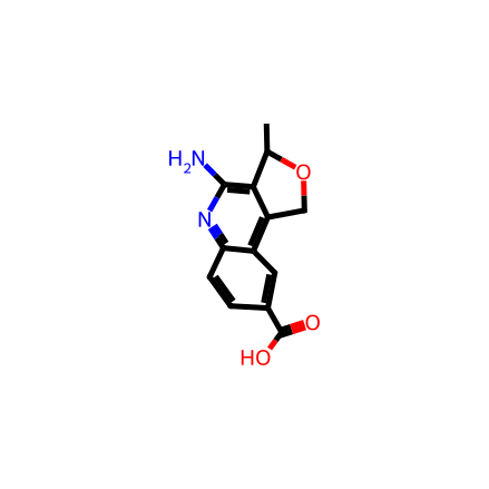 CC1OCc2c1c(N)nc1ccc(C(=O)O)cc21